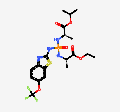 CCOC(=O)[C@H](C)NP(=O)(Nc1nc2ccc(OC(F)(F)F)cc2s1)N[C@@H](C)C(=O)OC(C)C